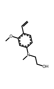 C=Cc1ccc(N(C)CCO)cc1OC